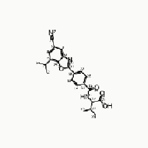 CC(C)c1cc(C#N)cc2nc(-c3ccc(C(=O)NC(C(=O)O)C(C)C)cc3)oc12